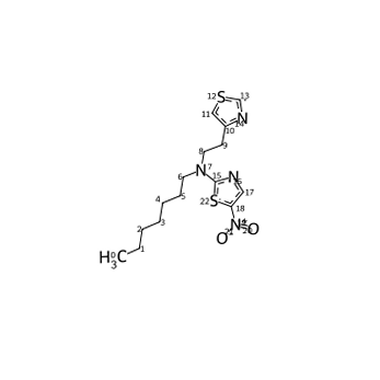 CCCCCCCN(CCc1cs[c]n1)c1ncc([N+](=O)[O-])s1